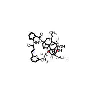 CCN1C[C@]2(OC(=O)c3ccccc3NC(=O)/C=C/c3cccc(C)n3)CC[C@H](OC)[C@]34C1[C@@H](C[C@H]23)[C@@]1(O)C[C@H](OC)[C@H]2C[C@@H]4[C@]1(O)C2